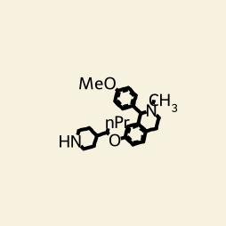 CCCC(Oc1ccc2c(c1)C(c1ccc(OC)cc1)N(C)CC2)C1CCNCC1